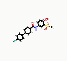 CS(=O)(=O)c1cc(NC(=O)C2CCC(c3ccc(F)cc3)CC2)ccc1O